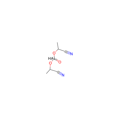 CC(C#N)O[AsH](=O)OC(C)C#N